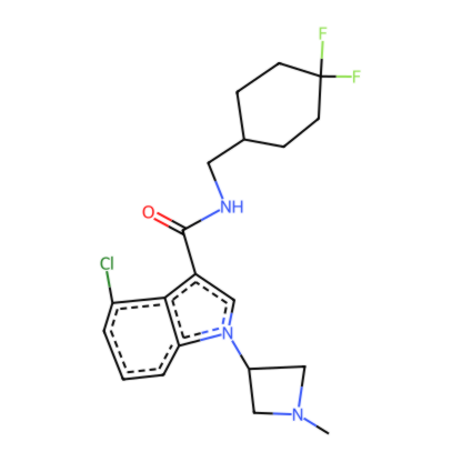 CN1CC(n2cc(C(=O)NCC3CCC(F)(F)CC3)c3c(Cl)cccc32)C1